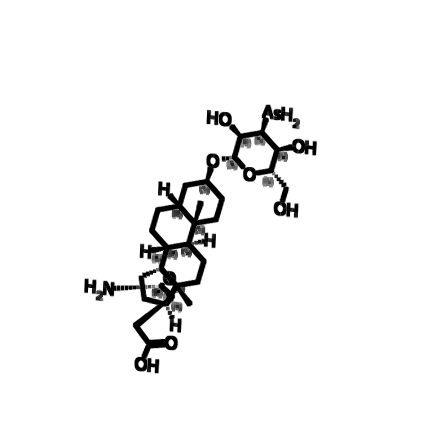 C[C@]12CC[C@H](O[C@H]3O[C@@H](CO)[C@H](O)[C@H]([AsH2])[C@@H]3O)C[C@H]1CC[C@@H]1[C@@H]2CC[C@]2(C)[C@@H]3CC[C@]12O[C@@H](N)[C@H]3CC(=O)O